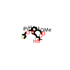 CO[C@H]1C[C@H]2C=C[C@@H]3C[C@]2(O[C@H]3[C@H](OCc2ccsc2)C(C)C)/C(C)=C/[C@@H](C)[C@@H]([C@@H](C)O)OC1=O